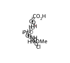 COc1cc(Cl)ccc1C(=O)NC(C)(C)CNC(=O)C[C@@]12CC[C@]3(C)[C@H](CC[C@@H]4[C@@]5(C)CC[C@H](OC(=O)[C@H]6C[C@@H](C(=O)O)C6(C)C)C(C)(C)[C@@H]5CC[C@]43C)C1=C(C(C)C)C(=O)C2